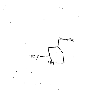 CCCCOC1CCNC(C(=O)O)C1